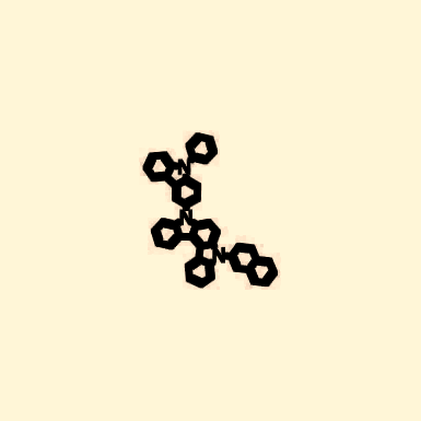 c1ccc(-n2c3ccccc3c3cc(-n4c5ccccc5c5c6c7ccccc7n(-c7ccc8ccccc8c7)c6ccc54)ccc32)cc1